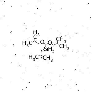 CC(C)COC(OCC(C)C)[SiH2]CC(C)C